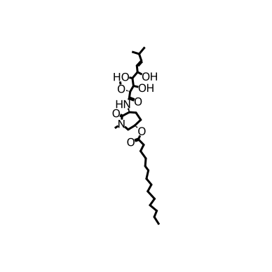 CCCCCCCCCCCCCC(=O)O[C@H]1CC[C@H](NC(=O)[C@H](OC)C(O)C(O)C(O)/C=C/C(C)C)C(=O)N(C)C1